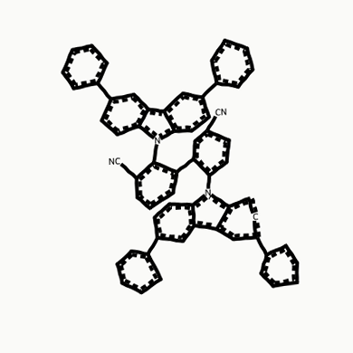 N#Cc1ccc(-n2c3ccc(-c4ccccc4)cc3c3cc(-c4ccccc4)ccc32)c(-c2cccc(C#N)c2-n2c3ccc(-c4ccccc4)cc3c3cc(-c4ccccc4)ccc32)c1